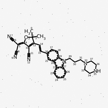 CC1(C)OC(=C(C#N)C#N)C(C#N)=C1/C=C/c1ccc2c(c1)c1ccccc1n2CCCN1CCNCC1